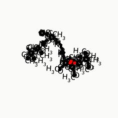 CC[C@H]1O[C@H](O[C@]2(CCl)O[C@H](Cn3cc(CO[C@H]4O[C@H](Cn5cc(CCCn6cc(CO[C@@H]7OC(COC(C)=O)[C@@H](O[C@H]8OC(COC(C)=O)[C@@H](O[C@H]9OC(C)[C@@H](N(C(C)=O)[C@H]%10C=C(COC(C)=O)[C@@H](C)[C@H](C)[C@H]%10OC(C)=O)[C@H](C)C9OC(C)=O)[C@H](C)C8C)[C@H](C)C7OC(C)=O)nn6)nn5)[C@@H](C)[C@H](C)[C@@H]4OC(=O)c4ccccc4)nn3)[C@@H](C)[C@@H]2OC(C)=O)[C@H](OC(C)=O)[C@@H](OC(C)=O)[C@H]1Cl